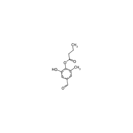 CCCC(=O)Oc1c(C)cc(C=O)cc1O